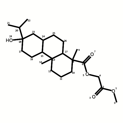 COC(=O)COC(=O)C1(C)CCCC2(C)C3CCC(O)(C(C)C)CC3CCC12